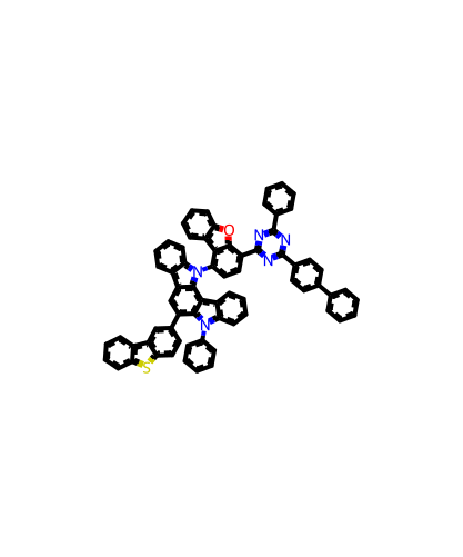 c1ccc(-c2ccc(-c3nc(-c4ccccc4)nc(-c4ccc(-n5c6ccccc6c6cc(-c7ccc8sc9ccccc9c8c7)c7c(c8ccccc8n7-c7ccccc7)c65)c5c4oc4ccccc45)n3)cc2)cc1